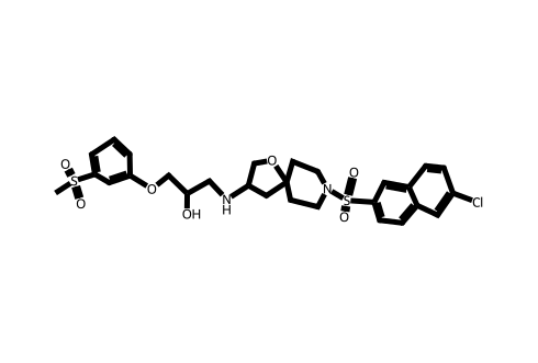 CS(=O)(=O)c1cccc(OCC(O)CNC2COC3(CCN(S(=O)(=O)c4ccc5cc(Cl)ccc5c4)CC3)C2)c1